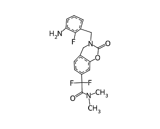 CN(C)C(=O)C(F)(F)c1ccc2c(c1)OC(=O)N(Cc1cccc(N)c1F)C2